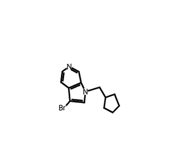 Brc1cn(CC2CCCC2)c2cnccc12